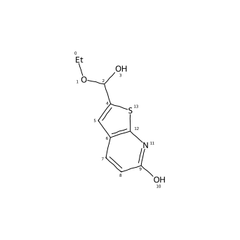 CCOC(O)c1cc2ccc(O)nc2s1